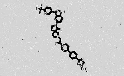 Cn1cnc(-c2ccc(C3=CCN(C(=O)CN4CCC5(CCN(c6ccc7[nH]nc(-c8ccc(C(F)(F)F)nc8)c7c6)C5=O)C4)CC3)cc2)n1